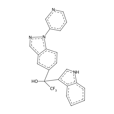 OC(c1ccc2c(cnn2-c2cccnc2)c1)(c1c[nH]c2ccccc12)C(F)(F)F